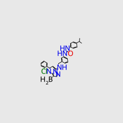 Bc1cnn2c(NCc3cccc(NC(=O)Nc4ccc(C(C)C)cc4)c3)cc(-c3ccccc3Cl)nc12